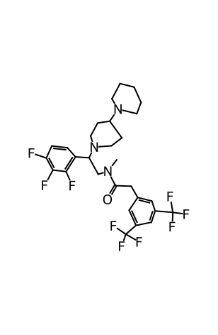 CN(CC(c1ccc(F)c(F)c1F)N1CCC(N2CCCCC2)CC1)C(=O)Cc1cc(C(F)(F)F)cc(C(F)(F)F)c1